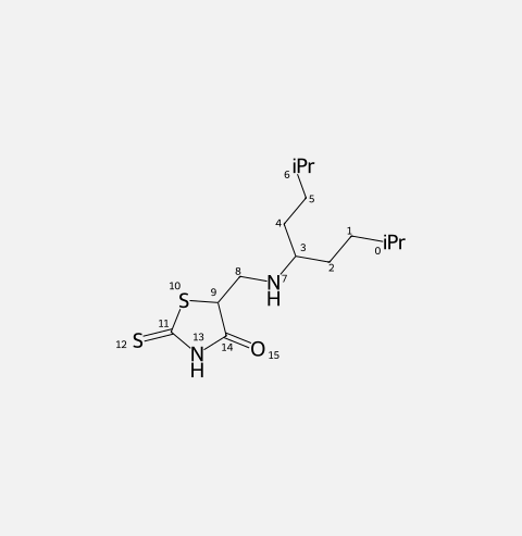 CC(C)CCC(CCC(C)C)NCC1SC(=S)NC1=O